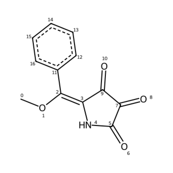 CO/C(=C1\NC(=O)C(=O)C1=O)c1ccccc1